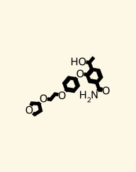 CC(O)c1ccc(C(N)=O)cc1Oc1ccc(OCCOC2CCOC2)cc1